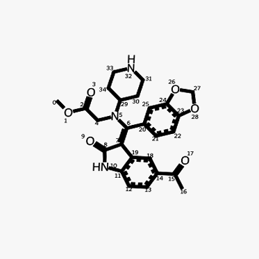 COC(=O)CN(/C(=C1\C(=O)Nc2ccc(C(C)=O)cc21)c1ccc2c(c1)OCO2)C1CCNCC1